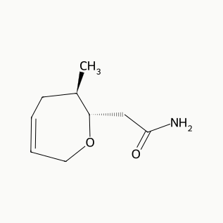 C[C@@H]1CC=CCO[C@H]1CC(N)=O